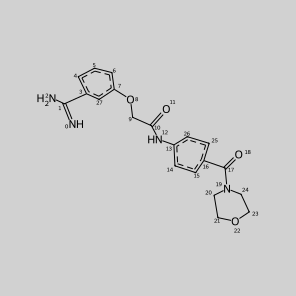 N=C(N)c1cccc(OCC(=O)Nc2ccc(C(=O)N3CCOCC3)cc2)c1